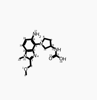 COCc1nc2c(N3CCC(NC(=O)O)C3)c(N)ccc2n1C